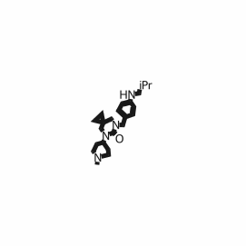 CC(C)CNc1ccc(CN2CC3(CC3)CN(C3CCN(C)CC3)C2=O)cc1